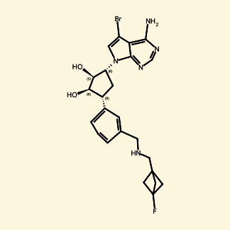 Nc1ncnc2c1c(Br)cn2[C@@H]1C[C@H](c2cccc(CNCC34CC(F)(C3)C4)c2)[C@@H](O)[C@H]1O